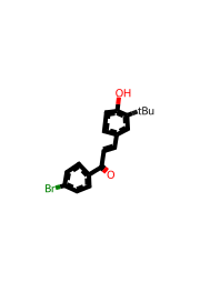 CC(C)(C)c1cc(C=CC(=O)c2ccc(Br)cc2)ccc1O